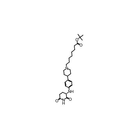 CC(C)(C)OC(=O)CCCCCCCN1CCC(c2ccc(N[C@@H]3CCC(=O)NC3=O)cc2)CC1